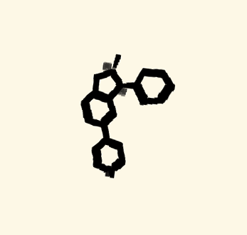 C[C@H]1Cc2ccc(-c3ccncc3)cc2[C@@H]1c1ccccc1